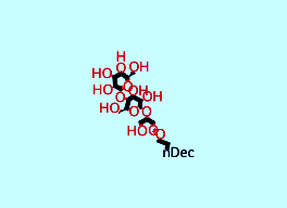 CCCCCCCCCCCCOOCC(CO)O[C@H]1O[C@H](CO)[C@@H](O[C@@H]2O[C@H](CO)[C@H](O)[C@H](O)[C@H]2O)[C@H](O)[C@H]1O